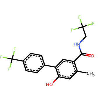 Cc1cc(O)c(-c2ccc(C(F)(F)F)cc2)cc1C(=O)NCC(F)(F)F